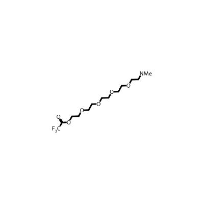 CNCCOCCOCCOCCOCCOC(=O)C(F)(F)F